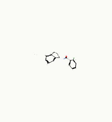 O=C(N[C@H]1CCc2c(C(=O)O)cccc21)c1ccccc1Cl